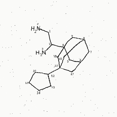 NCC(N)C12CC3CC(C1)CC(C1CCCC1)(C3)C2